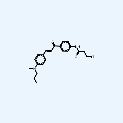 CCCN(C)c1ccc(/C=C/C(=O)c2ccc(NC(=O)CCCl)cc2)cc1